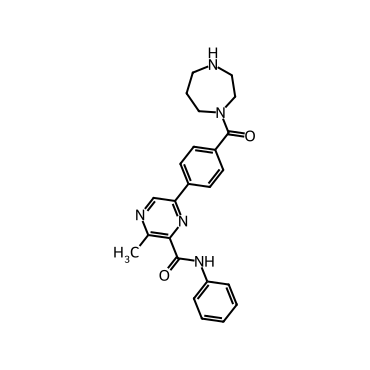 Cc1ncc(-c2ccc(C(=O)N3CCCNCC3)cc2)nc1C(=O)Nc1ccccc1